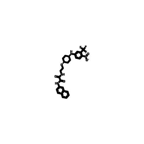 O=C(NCCO[C@H]1CC[C@H](Nc2ccc([N+](=O)[O-])c(C(F)(F)F)c2)CC1)C(=O)Nc1ccc2ccccc2c1